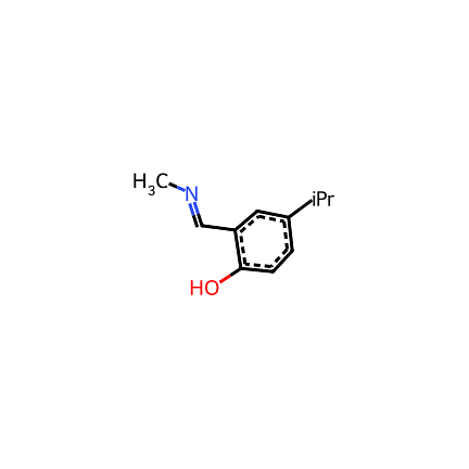 C/N=C/c1cc(C(C)C)ccc1O